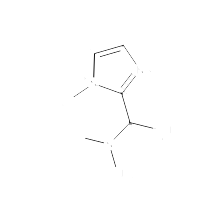 CN(C)C(O)c1nccn1C